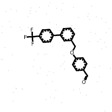 O=Cc1ccc(OCc2cccc(-c3ccc(C(F)(F)F)cc3)c2)cc1